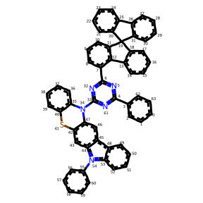 c1ccc(-c2nc(-c3cccc4c3-c3ccccc3C43c4ccccc4-c4ccccc43)nc(N3c4ccccc4Sc4cc5c(cc43)c3ccccc3n5-c3ccccc3)n2)cc1